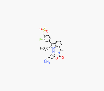 C[C@@H](c1cccc2c(-c3ccc(CS(C)(=O)=O)c(F)c3)c(C(=O)O)[nH]c12)N1CC2(CC(CN)C2)OC1=O